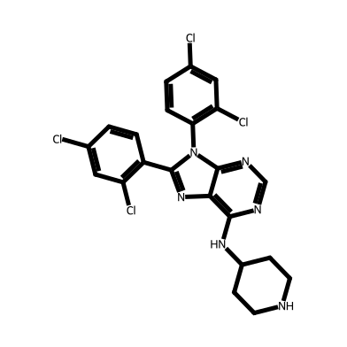 Clc1ccc(-c2nc3c(NC4CCNCC4)ncnc3n2-c2ccc(Cl)cc2Cl)c(Cl)c1